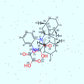 CC1C[C@@H]2C[C@H](C1)C[C@H]([C@@H]1[C@@H]3CCC[C@H]1CC(N(C(=O)C(=O)O)c1ccccc1NC(=O)C(=O)O)C3)C2